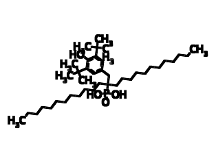 CCCCCCCCCCCCC(CCCCCCCCCCCC)(Cc1cc(C(C)(C)C)c(O)c(C(C)(C)C)c1)P(=O)(O)O